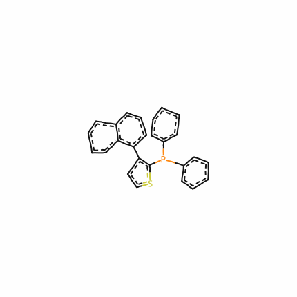 c1ccc(P(c2ccccc2)c2sccc2-c2cccc3ccccc23)cc1